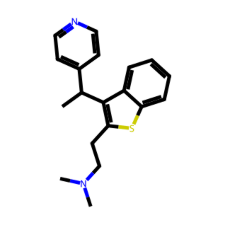 CC(c1ccncc1)c1c(CCN(C)C)sc2ccccc12